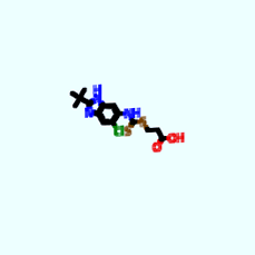 CC(C)(C)c1nc2cc(Cl)c(NC(=S)SCCC(=O)O)cc2[nH]1